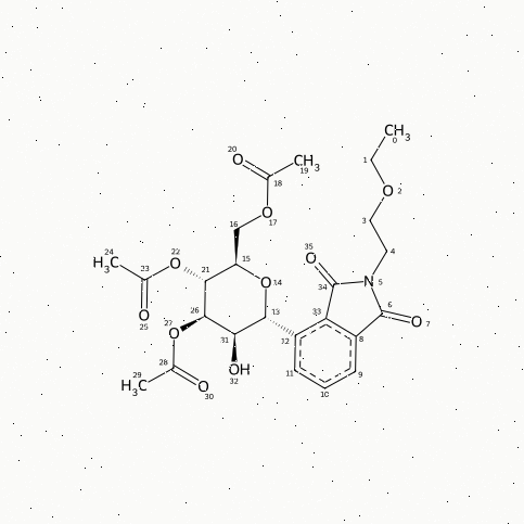 CCOCCN1C(=O)c2cccc([C@H]3O[C@H](COC(C)=O)[C@@H](OC(C)=O)[C@H](OC(C)=O)[C@@H]3O)c2C1=O